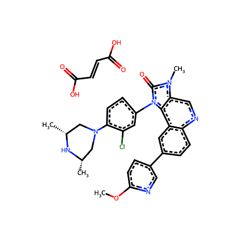 COc1ccc(-c2ccc3ncc4c(c3c2)n(-c2ccc(N3C[C@@H](C)N[C@@H](C)C3)c(Cl)c2)c(=O)n4C)cn1.O=C(O)C=CC(=O)O